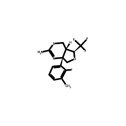 Cc1cccc([C@]23CO[C@H](C(F)(F)F)[C@H]2CSC(N)=N3)c1F